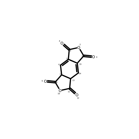 O=C1OC(=O)C2=CC3C(=O)OC(=O)C3C=C12